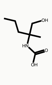 CCCC(C)(CO)NC(=O)O